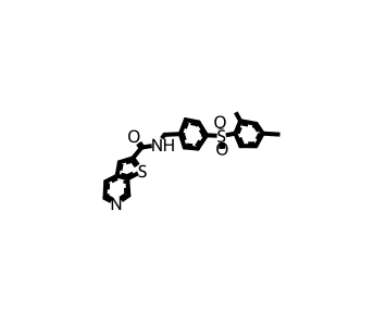 Cc1ccc(S(=O)(=O)c2ccc(CNC(=O)c3cc4ccncc4s3)cc2)c(C)c1